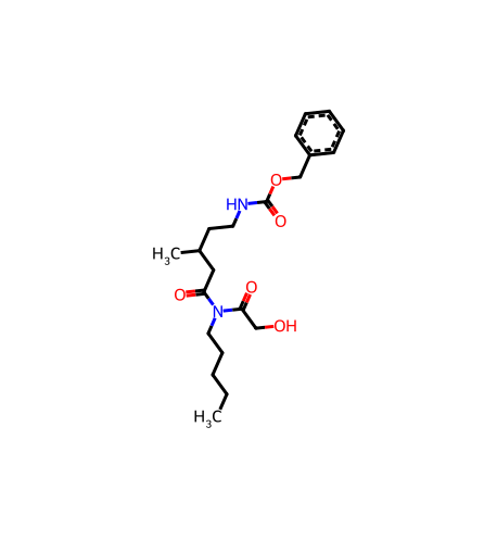 CCCCCN(C(=O)CO)C(=O)CC(C)CCNC(=O)OCc1ccccc1